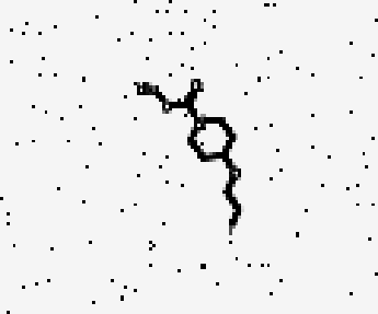 CC(C)(C)OC(=O)N1CCC(OCCI)CC1